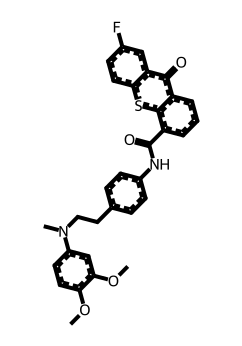 COc1ccc(N(C)CCc2ccc(NC(=O)c3cccc4c(=O)c5cc(F)ccc5sc34)cc2)cc1OC